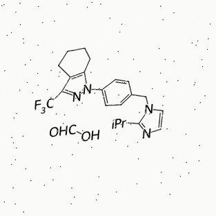 CC(C)c1nccn1Cc1ccc(-n2nc(C(F)(F)F)c3c2CCCC3)cc1.O=CO